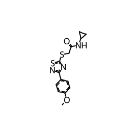 COc1ccc(-c2nsc(SCC(=O)NC3CC3)n2)cc1